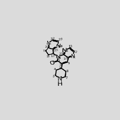 O=c1c(C2CCNCC2)cc2nccnc2n1C1CCc2nccnc21